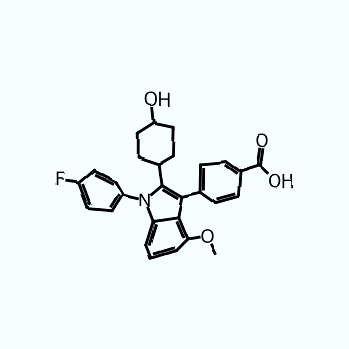 COc1cccc2c1c(-c1ccc(C(=O)O)cc1)c(C1CCC(O)CC1)n2-c1ccc(F)cc1